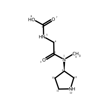 CN(C(=O)CNC(=O)O)[C@@H]1CCNC1